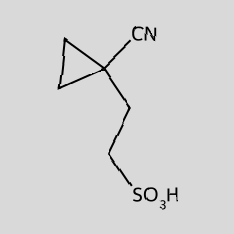 N#CC1(CCS(=O)(=O)O)CC1